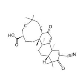 CC1(C)CCC2C(=O)C=C3[C@@]4(C)C=C(C#N)C(=O)C(C)(C)[C@@H]4CC[C@@]3(C)[C@]2(C)CC[C@@H](C(=O)O)CC1